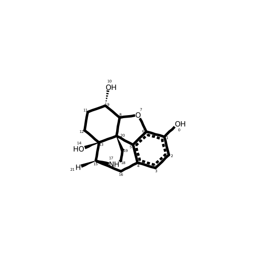 Oc1ccc2c3c1OC1[C@@H](O)CC[C@@]4(O)[C@@H](C2)NCC[C@]314